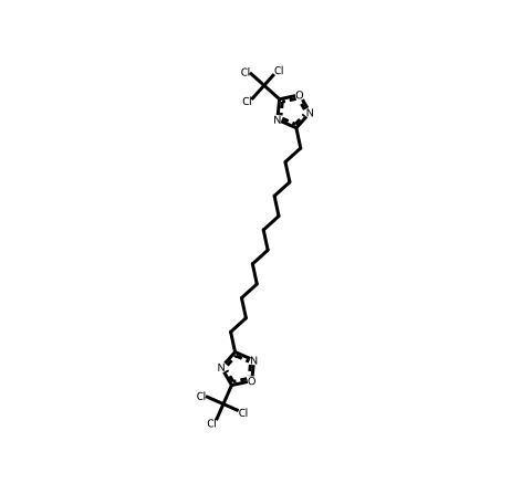 ClC(Cl)(Cl)c1nc(CCCCCCCCCCCCc2noc(C(Cl)(Cl)Cl)n2)no1